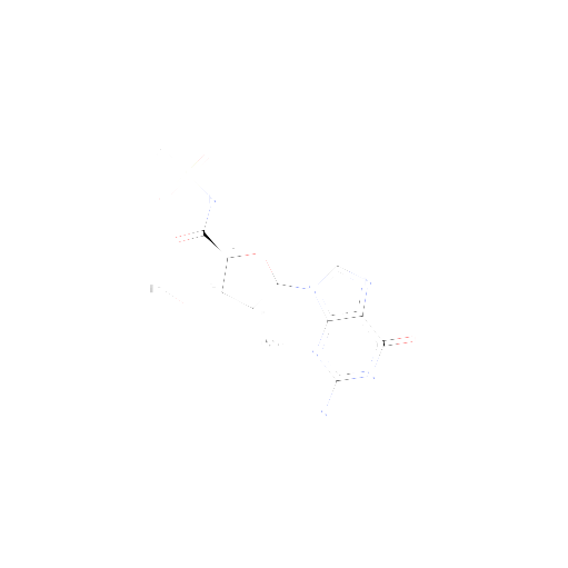 CO[C@H]1C(n2cnc3c(=O)[nH]c(N)nc32)O[C@H](C(=O)NS(C)(=O)=O)[C@H]1OC(C)C